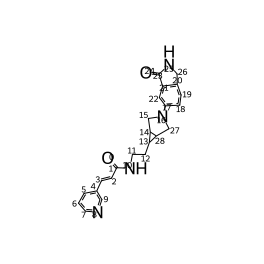 O=C(/C=C/c1cccnc1)NCCC1C2CN(c3ccc4c(c3)C(=O)NC4)CC12